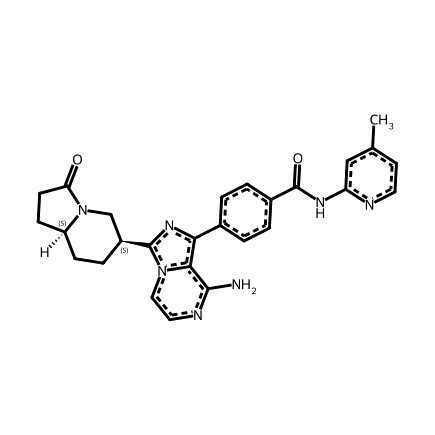 Cc1ccnc(NC(=O)c2ccc(-c3nc([C@H]4CC[C@H]5CCC(=O)N5C4)n4ccnc(N)c34)cc2)c1